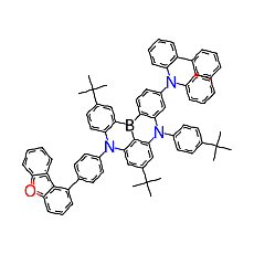 CC(C)(C)c1ccc(N2c3cc(N(c4ccccc4)c4ccccc4-c4ccccc4)ccc3B3c4cc(C(C)(C)C)ccc4N(c4ccc(-c5cccc6oc7ccccc7c56)cc4)c4cc(C(C)(C)C)cc2c43)cc1